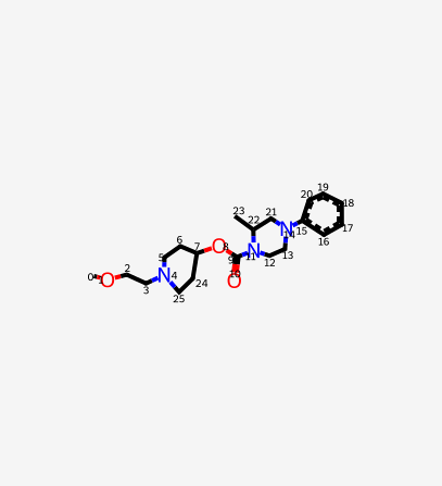 COCCN1CCC(OC(=O)N2CCN(c3ccccc3)CC2C)CC1